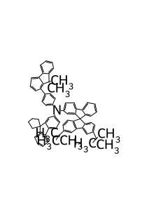 CC(C)(C)c1ccc2c(c1)-c1cc(C(C)(C)C)ccc1C21c2ccccc2-c2ccc(N(c3ccc(-c4cccc5c4C(C)(C)c4ccccc4-5)cc3)c3ccc4c(c3)C3(CCCC3)c3ccccc3-4)cc21